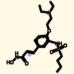 CCCCS(=O)(=O)Nc1cc(/C=C/C(=O)NO)ccc1OCCN(CC)CC